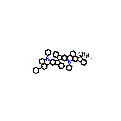 CC1(C)c2ccccc2-c2cc(N(c3ccccc3)c3cc4c(cc3-c3ccccc3)-c3ccccc3C43c4ccccc4-c4cc(-c5ccc(C6CCCCC6)cc5)c(N(c5ccccc5)c5ccccc5)cc43)ccc21